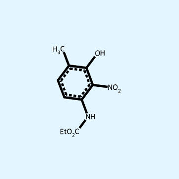 CCOC(=O)Nc1ccc(C)c(O)c1[N+](=O)[O-]